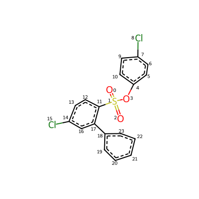 O=S(=O)(Oc1ccc(Cl)cc1)c1ccc(Cl)cc1-c1ccccc1